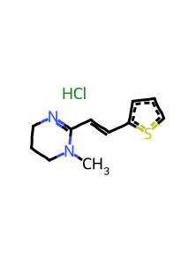 CN1CCCN=C1C=Cc1cccs1.Cl